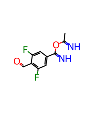 CC(=N)OC(=N)c1cc(F)c(C=O)c(F)c1